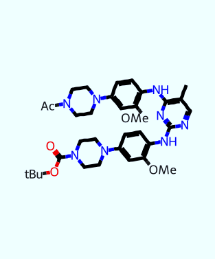 COc1cc(N2CCN(C(=O)OC(C)(C)C)CC2)ccc1Nc1ncc(C)c(Nc2ccc(N3CCN(C(C)=O)CC3)cc2OC)n1